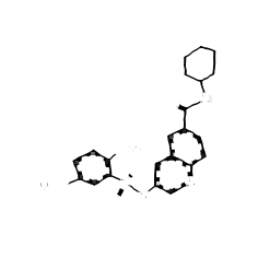 COc1ccc(OC)c(S(=O)(=O)Nc2cnc3ccc(C(=O)NC4CCCCC4)cc3c2)c1